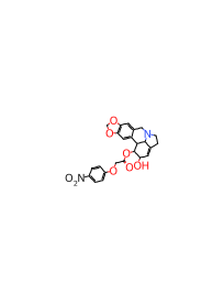 O=C(COc1ccc([N+](=O)[O-])cc1)OC1C(O)C=C2CCN3Cc4cc5c(cc4C1C23)OCO5